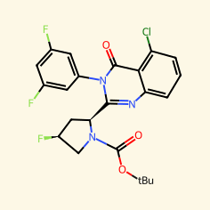 CC(C)(C)OC(=O)N1C[C@@H](F)C[C@H]1c1nc2cccc(Cl)c2c(=O)n1-c1cc(F)cc(F)c1